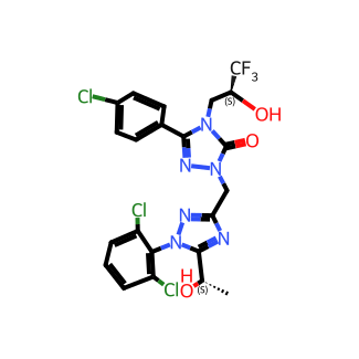 C[C@H](O)c1nc(Cn2nc(-c3ccc(Cl)cc3)n(C[C@H](O)C(F)(F)F)c2=O)nn1-c1c(Cl)cccc1Cl